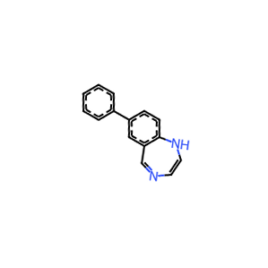 C1=CNc2ccc(-c3ccccc3)cc2C=N1